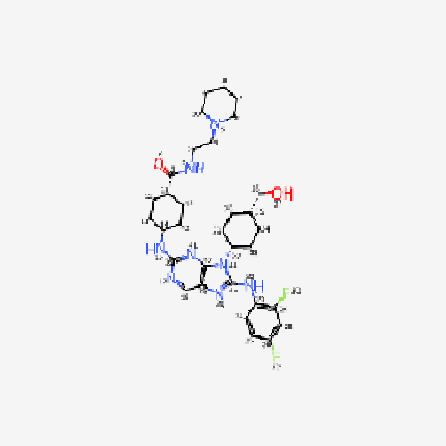 O=C(NCCN1CCCCC1)[C@H]1CC[C@H](Nc2ncc3nc(Nc4ccc(F)cc4F)n([C@H]4CC[C@@H](CO)CC4)c3n2)CC1